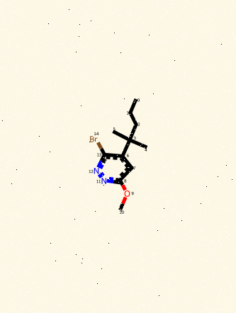 CCCC(C)(C)c1cc(OC)nnc1Br